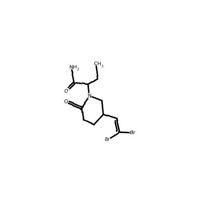 CCC(C(N)=O)N1CC(C=C(Br)Br)CCC1=O